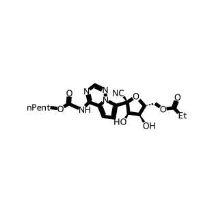 CCCCCOC(=O)Nc1ncnn2c([C@]3(C#N)O[C@H](COC(=O)CC)[C@@H](O)[C@H]3O)ccc12